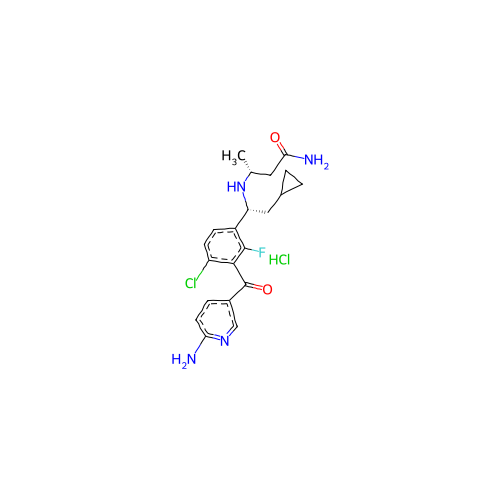 C[C@H](CC(N)=O)N[C@H](CC1CC1)c1ccc(Cl)c(C(=O)c2ccc(N)nc2)c1F.Cl